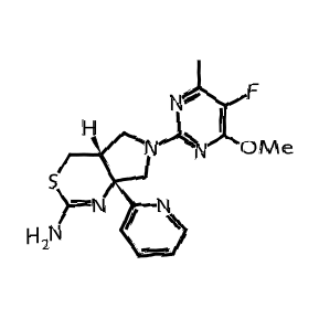 COc1nc(N2C[C@H]3CSC(N)=N[C@@]3(c3ccccn3)C2)nc(C)c1F